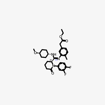 CCOC(=O)Cc1ccc(C)c(/N=C(\N[C@H]2CC[C@H](OC)CC2)[C@@H]2CCCC(=O)N2c2ccc(F)c(F)c2)c1